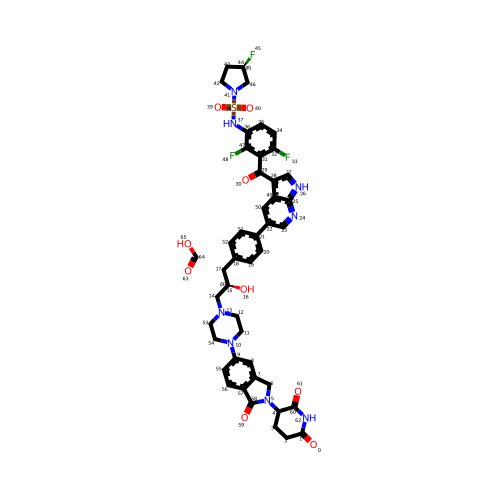 O=C1CCC(N2Cc3cc(N4CCN(C[C@H](O)Cc5ccc(-c6cnc7[nH]cc(C(=O)c8c(F)ccc(NS(=O)(=O)N9CC[C@@H](F)C9)c8F)c7c6)cc5)CC4)ccc3C2=O)C(=O)N1.O=CO